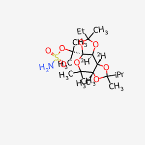 [2H][C@@]12OC(C)(C(C)C)O[C@]1(C)C(C)(C)O[C@@]1(C(C)(C)OS(N)(=O)=O)OC(C)(CC)O[C@]12[2H]